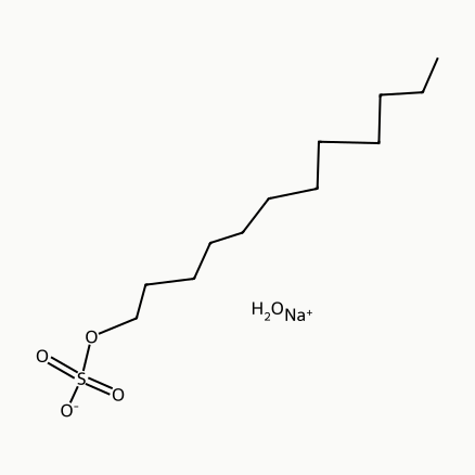 CCCCCCCCCCCCOS(=O)(=O)[O-].O.[Na+]